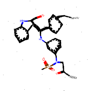 CNC(=O)CN(c1cccc(NC(=C2C(=O)Nc3ccccc32)c2ccc(CNC(C)=O)cc2)c1)S(C)(=O)=O